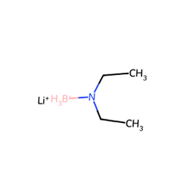 [BH3-]N(CC)CC.[Li+]